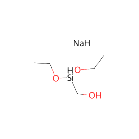 CCO[SiH](CO)OCC.[NaH]